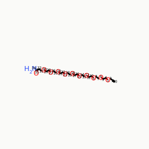 C#CCOCCOCCOCCOCCOCCOCCOCCOCCOCCOCCC(N)=O